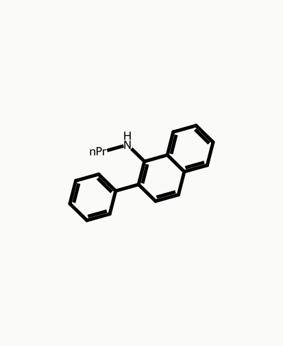 CCCNc1c(-c2ccccc2)ccc2ccccc12